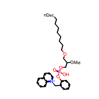 CCCCCCCCCCCCCCCCCCOCC(COP(=O)(O)Oc1ccccc1C[n+]1cccc2ccccc21)OC